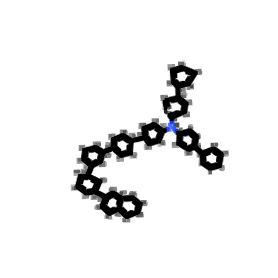 c1ccc(-c2ccc(N(c3ccc(-c4ccccc4)cc3)c3ccc(-c4ccc(-c5cccc(-c6cccc(-c7ccc8ccccc8c7)c6)c5)cc4)cc3)cc2)cc1